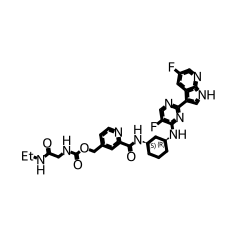 CCNC(=O)CNC(=O)OCc1ccnc(C(=O)N[C@H]2CCC[C@@H](Nc3nc(-c4c[nH]c5ncc(F)cc45)ncc3F)C2)c1